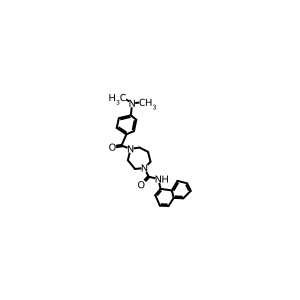 CN(C)c1ccc(C(=O)N2CCCN(C(=O)Nc3cccc4ccccc34)CC2)cc1